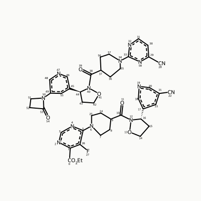 CCOC(=O)c1ncnc(N2CCC(C(=O)N3OCC[C@H]3c3cncc(C#N)c3)CC2)c1F.N#Cc1ccnc(N2CCC(C(=O)N3OCC[C@H]3c3cncc(N4CCC4=O)c3)CC2)n1